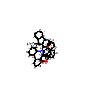 CC1(C)c2ccccc2-c2cccc(N(c3ccccc3-c3cccc4oc5cc6ccccc6cc5c34)c3cccc4ccccc34)c21